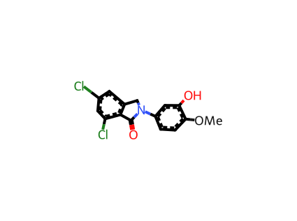 COc1ccc(N2Cc3cc(Cl)cc(Cl)c3C2=O)cc1O